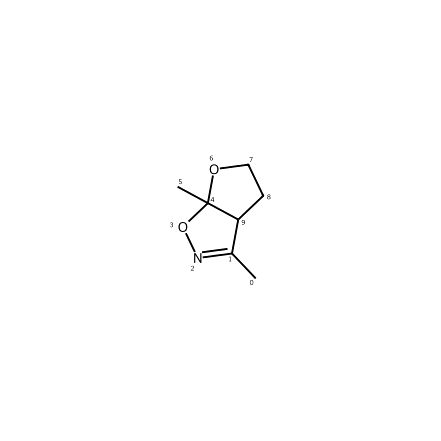 CC1=NOC2(C)OCCC12